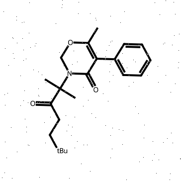 CC1=C(c2ccccc2)C(=O)N(C(C)(C)C(=O)CCC(C)(C)C)CO1